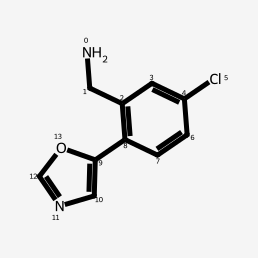 NCc1cc(Cl)ccc1-c1cnco1